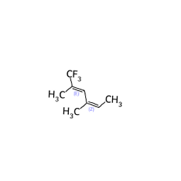 C/C=C(C)\C=C(/C)C(F)(F)F